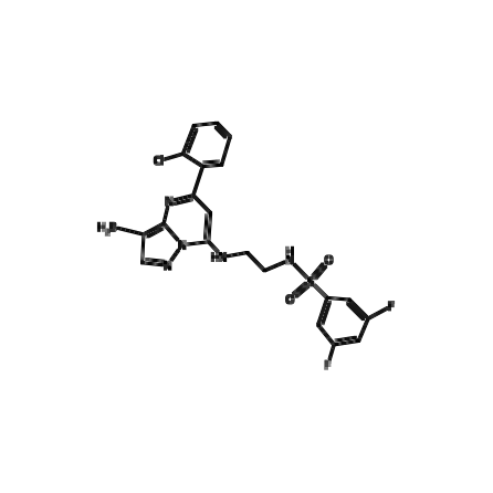 Bc1cnn2c(NCCNS(=O)(=O)c3cc(F)cc(F)c3)cc(-c3ccccc3Cl)nc12